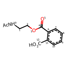 CC(=O)NCCOC(=O)c1ccccc1C(=O)O